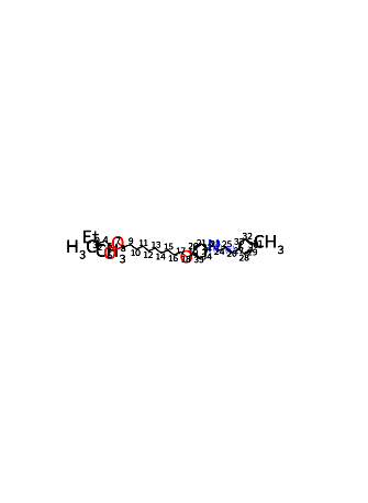 CCC(C)(C)CC(=O)OCCCCCCCCCCOc1ccc(/N=C/C=C/c2ccc(C)cc2)cc1